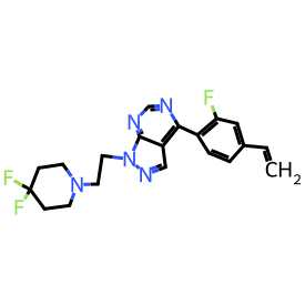 C=Cc1ccc(-c2ncnc3c2cnn3CCN2CCC(F)(F)CC2)c(F)c1